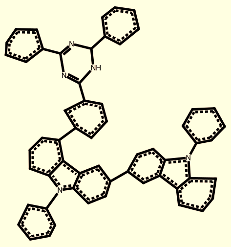 c1ccc(C2=NC(c3ccccc3)NC(c3cccc(-c4cccc5c4c4cc(-c6ccc7c(c6)c6ccccc6n7-c6ccccc6)ccc4n5-c4ccccc4)c3)=N2)cc1